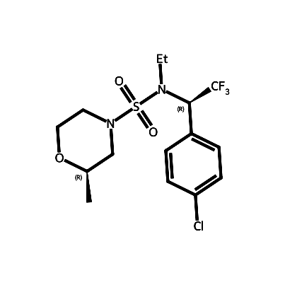 CCN([C@H](c1ccc(Cl)cc1)C(F)(F)F)S(=O)(=O)N1CCO[C@H](C)C1